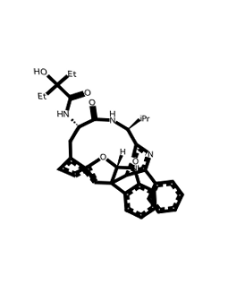 CCC(O)(CC)C(=O)N[C@H]1Cc2ccc3c(c2)C2(c4ccccc4N[C@H]2O3)c2oc(nc2-c2ccccc2)[C@H](C(C)C)NC1=O